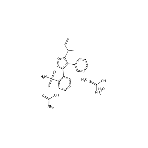 C.C=CC(C)c1scc(-c2ccccc2S(N)(=O)=O)c1-c1ccccc1.NC(O)=S.NC(O)=S.O